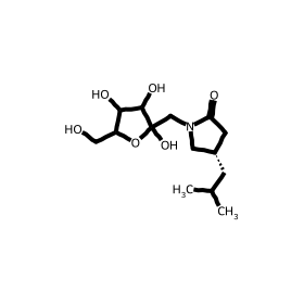 CC(C)C[C@H]1CC(=O)N(CC2(O)OC(CO)C(O)C2O)C1